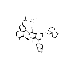 C#Cc1c(F)ccc2cc(OC(C)OP(=O)(O)O)cc(-c3nc(F)c4c(N5CC6CCC(C5)N6)nc(OCC56CCCN5CCC6)nc4c3F)c12